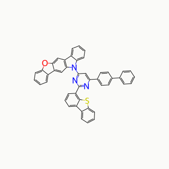 c1ccc(-c2ccc(-c3cc(-n4c5ccccc5c5cc6oc7ccccc7c6cc54)nc(-c4cccc5c4sc4ccccc45)n3)cc2)cc1